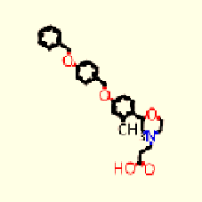 Cc1cc(OCc2ccc(OCc3ccccc3)cc2)ccc1C1CN(CCC(=O)O)CCO1